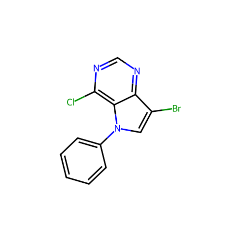 Clc1ncnc2c(Br)cn(-c3ccccc3)c12